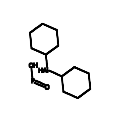 C1CC[CH]([AlH][CH]2CCCCC2)CC1.O=PO